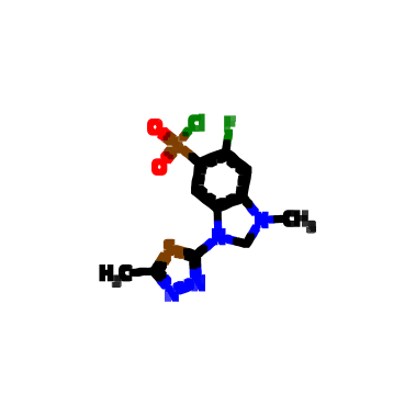 Cc1nnc(N2CN(C)c3cc(F)c(S(=O)(=O)Cl)cc32)s1